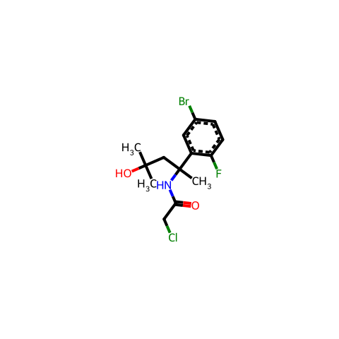 CC(C)(O)CC(C)(NC(=O)CCl)c1cc(Br)ccc1F